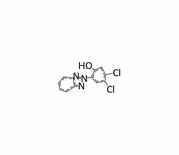 Oc1cc(Cl)c(Cl)cc1-n1nc2ccccc2n1